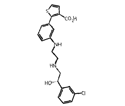 O=C(O)c1ccsc1-c1cccc(NCCNC[C@@H](O)c2cccc(Cl)c2)c1